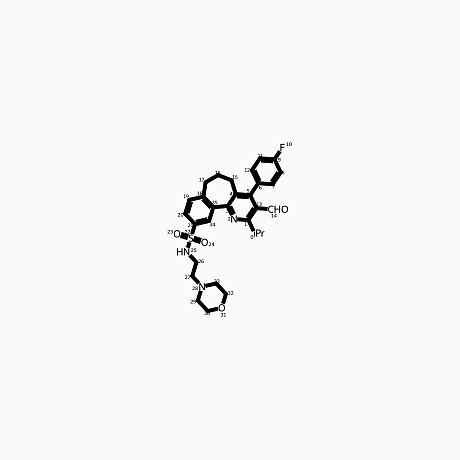 CC(C)c1nc2c(c(-c3ccc(F)cc3)c1C=O)CCCc1ccc(S(=O)(=O)NCCN3CCOCC3)cc1-2